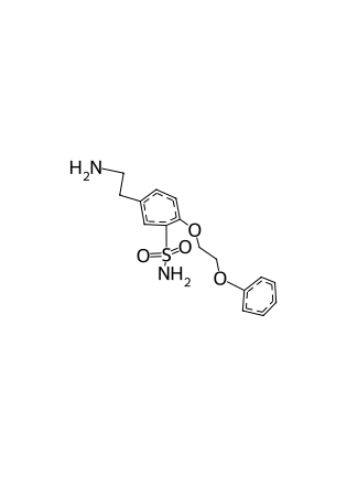 NCCc1ccc(OCCOc2ccccc2)c(S(N)(=O)=O)c1